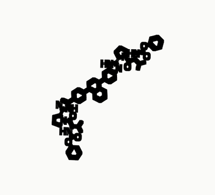 CC(C)C(NC(=O)Oc1ccccc1)C(=O)N1CCC[C@H]1c1ncc(-c2ccc(-c3ccc(-c4ccc5nc([C@@H]6CCCN6C(=O)[C@@H](NC(=O)Oc6ccccc6)C(C)C)[nH]c5c4)c4c3C=C=C=C4)cc2)[nH]1